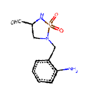 Nc1ccccc1CN1CC(C=O)NS1(=O)=O